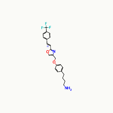 NCCCCc1ccc(OCc2coc(/C=C/c3ccc(C(F)(F)F)cc3)n2)cc1